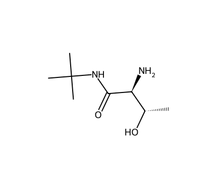 C[C@H](O)[C@H](N)C(=O)NC(C)(C)C